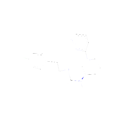 CN(C(=O)NCCc1ccc(F)cc1)[C@@H]1CCCN(c2cccnn2)C1